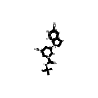 CC(C)(C)OC(=O)N1C[C@H](F)C[C@@H](N2CCc3cc(Cl)nnc32)C1